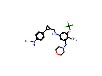 CNc1ccc(C2CC2CNc2cc(CN3CCOCC3)c(C)c(OC(F)(F)F)c2)cc1